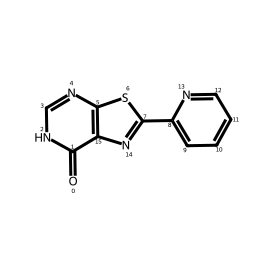 O=c1[nH]cnc2sc(-c3ccccn3)nc12